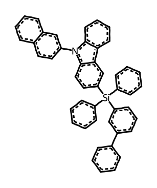 c1ccc(-c2cccc([Si](c3ccccc3)(c3ccccc3)c3ccc4c(c3)c3ccccc3n4-c3ccc4ccccc4c3)c2)cc1